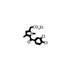 CCOC(=O)Cc1cc(C)c(C(=O)c2ccc(Cl)c(Cl)c2)n1C